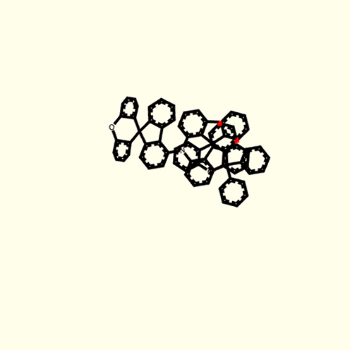 c1ccc(C2(c3ccccc3)c3ccccc3-c3c(N(c4cccc5c4-c4ccccc4C54c5ccccc5Oc5ccccc54)c4cccc5c4C4(c6ccccc6Oc6ccccc64)c4ccccc4-5)cccc32)cc1